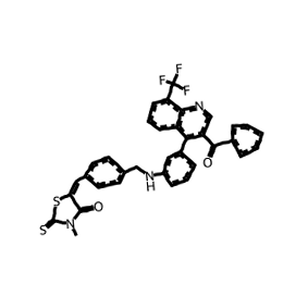 CN1C(=O)/C(=C\c2ccc(CNc3cccc(-c4c(C(=O)c5ccccc5)cnc5c(C(F)(F)F)cccc45)c3)cc2)SC1=S